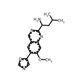 COc1cc2nc(C(N)CC(C)C)ncc2cc1-c1cnco1